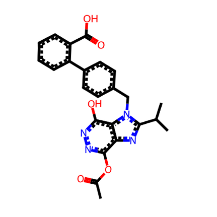 CC(=O)Oc1nnc(O)c2c1nc(C(C)C)n2Cc1ccc(-c2ccccc2C(=O)O)cc1